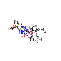 CCc1cc(N=c2[nH]c(=O)n(CC(C)C(=O)O)c(=O)n2Cc2ccc(C)cc2)ccc1OC(C)C